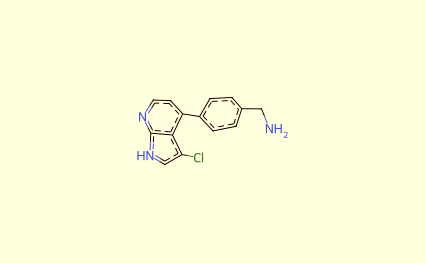 NCc1ccc(-c2ccnc3[nH]cc(Cl)c23)cc1